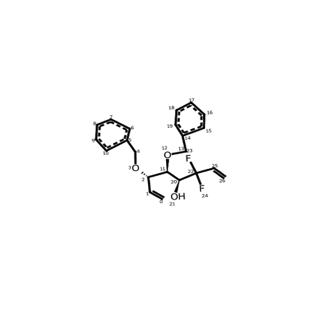 C=C[C@H](OCc1ccccc1)[C@@H](OCc1ccccc1)[C@H](O)C(F)(F)C=C